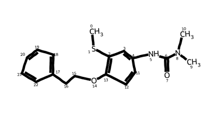 CSc1cc(NC(=O)N(C)C)ccc1OCCc1ccccc1